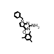 Cc1cc(C)c(Oc2nc(N)nc3c2ccn3Cc2ccccc2)c(C)c1